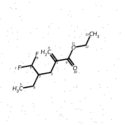 C=C(CC(CC)C(F)F)C(=O)OCC